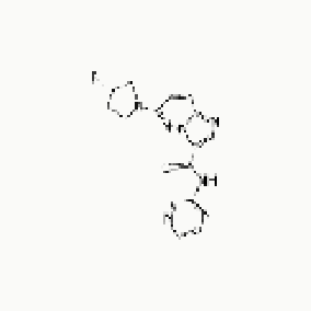 O=C(Nc1cnccn1)c1cnc2ccc(N3CC[C@H](F)C3)nn12